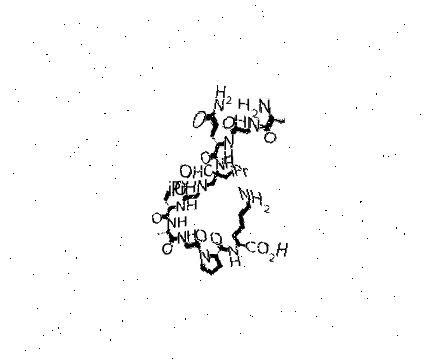 CC(C)C[C@H](NC(=O)CNC[C@@](C=O)(CC(C)C)NC(=O)[C@H](CCC(N)=O)NC(=O)CNC(=O)[C@H](C)N)C(=O)N[C@@H](C)C(=O)NCC(=O)N1CCC[C@H]1C(=O)N[C@@H](CCCCN)C(=O)O